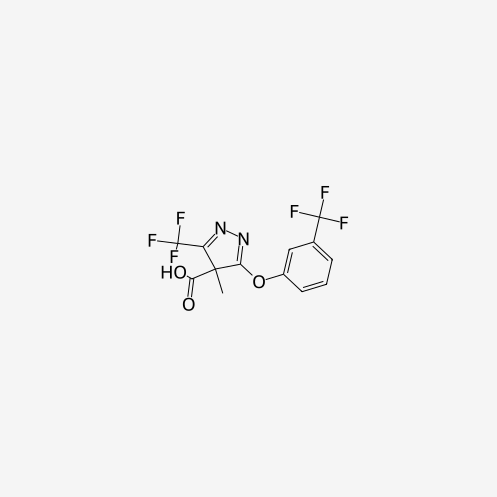 CC1(C(=O)O)C(Oc2cccc(C(F)(F)F)c2)=NN=C1C(F)(F)F